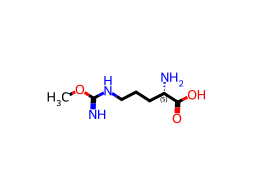 COC(=N)NCCC[C@H](N)C(=O)O